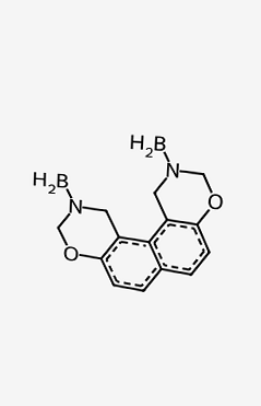 BN1COc2ccc3ccc4c(c3c2C1)CN(B)CO4